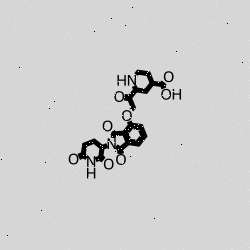 O=C1CCC(N2C(=O)c3cccc(OCC(=O)C4CC(C(=O)O)CCN4)c3C2=O)C(=O)N1